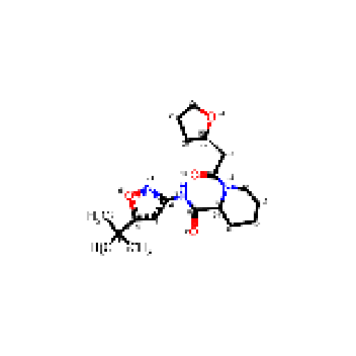 CC(C)(C)c1cc(NC(=O)[C@@H]2CCCCN2C(=O)C[C@H]2CCCO2)no1